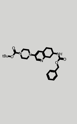 CC(C)(C)OC(=O)N1CCN(c2cnc3c(c2)CCC(NC(=O)OCc2ccccc2)C3)CC1